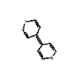 C1=CC(=C2C=CSN=C2)C=NS1